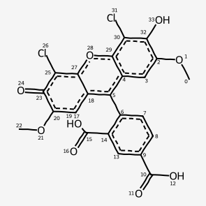 COc1cc2c(-c3ccc(C(=O)O)cc3C(=O)O)c3cc(OC)c(=O)c(Cl)c-3oc2c(Cl)c1O